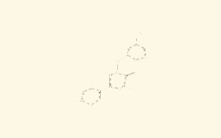 CCc1nc(-c2ccc(F)cc2)c(C(C)=O)n(Nc2cccc(C#N)c2)c1=O